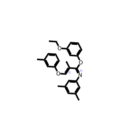 CCOc1cccc(OC(=N/c2cc(C)cc(C)c2)/C(C)=C/Oc2cccc(C)c2)c1